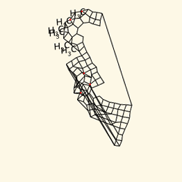 CC12C3C4C5C6C7C8C9C%10C%11C%12C%13C%14C%15C%16C%17CC%18C%19C%20C%21CC%22C%23C%24C%25C%26C%27C%28C%29CC(C%30C%31C%32C%33CC%11C%33%10C9%32C8(C)C7%31C6(C)C5%30C41C)C21C3C2C1(C)C%29(C)C%282C%271C2C3C4C5C6C7C8C9C%10C%12C%13%11C%14%12C%15%13C%16%14C%17C%15C%18%16C%17C%18C%19%27C%19C%28C%29C%20%30C%21%22C%23%20C%24%21C%25%22C%261C21C32C43C54C65C76C87C98C%10%11C%129C%13%10C%15%14C%16%11C%17%12C%18%13C%27%14C%19%15C%28%16C%29%17C%30%20C%21%18C%221C21C%17%18C%162C31C41C%152C%142C51C61C73C89C%11%10C%123C%1312